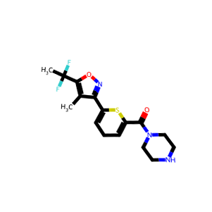 Cc1c(C2=CCC=C(C(=O)N3CCNCC3)S2)noc1C(C)(F)F